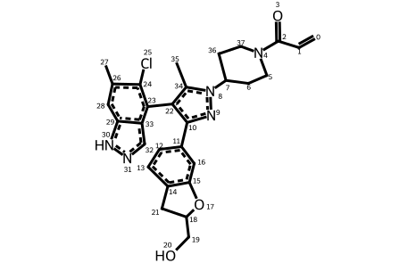 C=CC(=O)N1CCC(n2nc(-c3ccc4c(c3)OC(CO)C4)c(-c3c(Cl)c(C)cc4[nH]ncc34)c2C)CC1